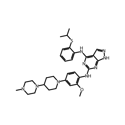 COc1cc(N2CCC(N3CCN(C)CC3)CC2)ccc1Nc1nc(Nc2ccccc2SC(C)C)c2cn[nH]c2n1